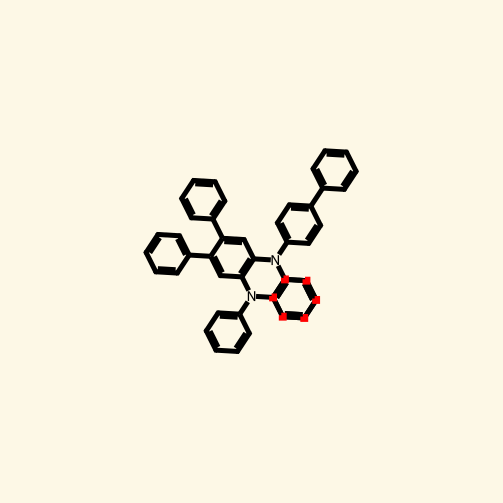 c1ccc(-c2ccc(N(c3ccccc3)c3cc(-c4ccccc4)c(-c4ccccc4)cc3N(c3ccccc3)c3ccccc3)cc2)cc1